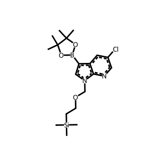 CC1(C)OB(c2cn(COCC[Si](C)(C)C)c3ncc(Cl)cc23)OC1(C)C